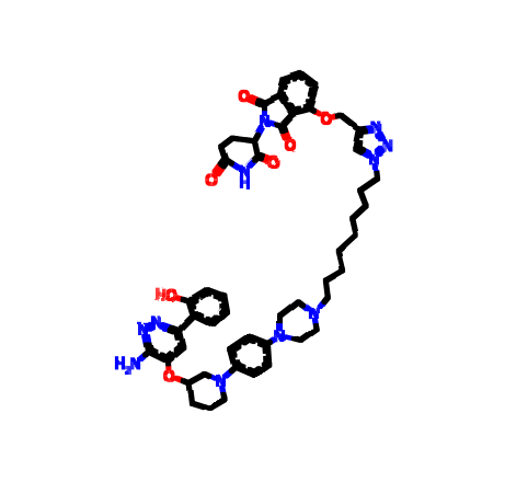 Nc1nnc(-c2ccccc2O)cc1OC1CCCN(c2ccc(N3CCN(CCCCCCCCCn4cc(COc5cccc6c5C(=O)N(C5CCC(=O)NC5=O)C6=O)nn4)CC3)cc2)C1